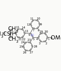 COc1ccc(/C(=C(\c2ccccc2)c2cc[c]([Sn]([CH3])([CH3])[CH3])cc2)c2ccccc2)cc1